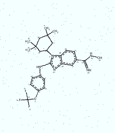 CC1(C)CC(n2c(Nc3ccc(OC(F)(F)F)cc3)nc3cc(C(=N)NO)ccc32)CC(C)(C)C1